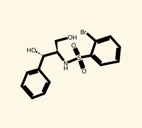 O=S(=O)(N[C@H](CO)[C@@H](O)c1ccccc1)c1ccccc1Br